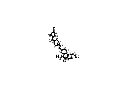 CCOc1ccc(C(N)=O)c(C2CCC(CCN3CCC(C(=O)c4ccc(F)cc4F)CC3)CC2)c1